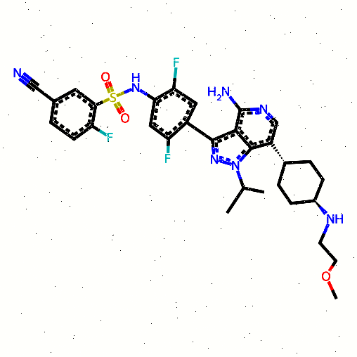 COCCN[C@H]1CC[C@H](c2cnc(N)c3c(-c4cc(F)c(NS(=O)(=O)c5cc(C#N)ccc5F)cc4F)nn(C(C)C)c32)CC1